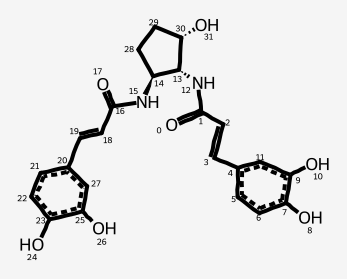 O=C(C=Cc1ccc(O)c(O)c1)N[C@@H]1[C@@H](NC(=O)C=Cc2ccc(O)c(O)c2)CC[C@@H]1O